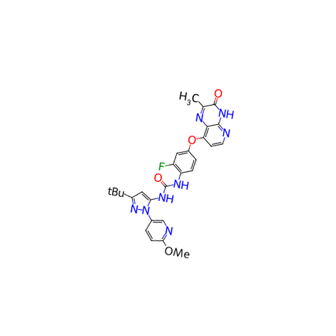 COc1ccc(-n2nc(C(C)(C)C)cc2NC(=O)Nc2ccc(Oc3ccnc4[nH]c(=O)c(C)nc34)cc2F)cn1